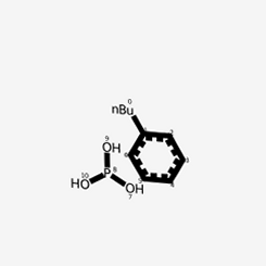 CCCCc1ccccc1.OP(O)O